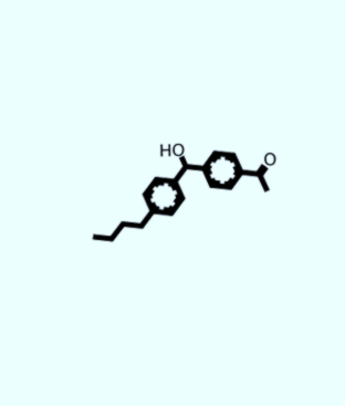 CCCCc1ccc(C(O)c2ccc(C(C)=O)cc2)cc1